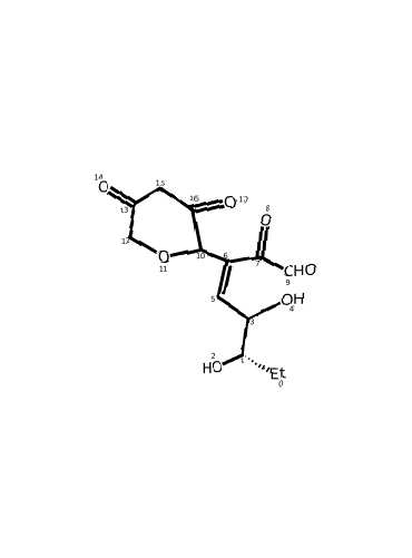 CC[C@H](O)C(O)/C=C(\C(=O)C=O)C1OCC(=O)CC1=O